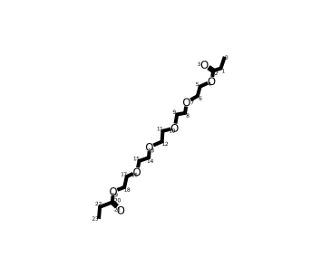 CCC(=O)OCCOCCOCCOCCOCCOC(=O)CC